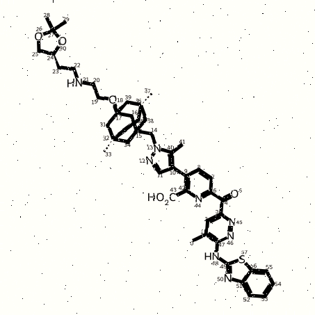 Cc1cc(C(=O)c2ccc(-c3cnn(CC45CC6(OCCNCC[C@H]7COC(C)(C)O7)C[C@](C)(C4)C[C@](C)(C5)C6)c3C)c(C(=O)O)n2)nnc1Nc1nc2ccccc2s1